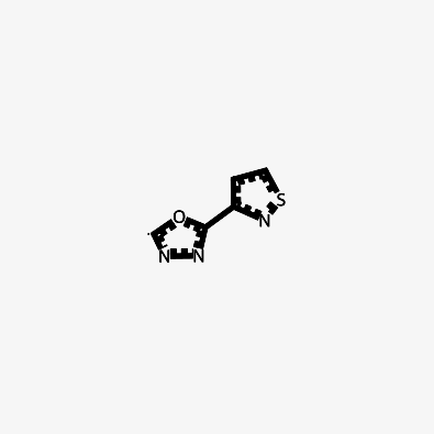 [c]1nnc(-c2ccsn2)o1